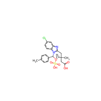 Cc1ccc(C(OS(=O)(=O)O)n2c(CC(C)(C)CC(=O)O)nc3cc(Cl)ccc32)cc1